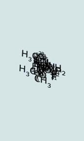 CCCC(CCC)S(=O)(=O)CC(NC(=O)c1cnc[nH]1)C(=O)O[C@H](CNCc1cccc(CC)c1)[C@@H](N)Cc1cc(F)cc(F)c1